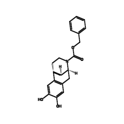 O=C(OCc1ccccc1)N1CC[C@@]23CCCC[C@@H]2[C@@H]1Cc1cc(O)c(O)cc13